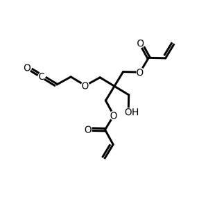 C=CC(=O)OCC(CO)(COCC=C=O)COC(=O)C=C